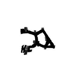 CCC(C)C1CC2CC2N1C